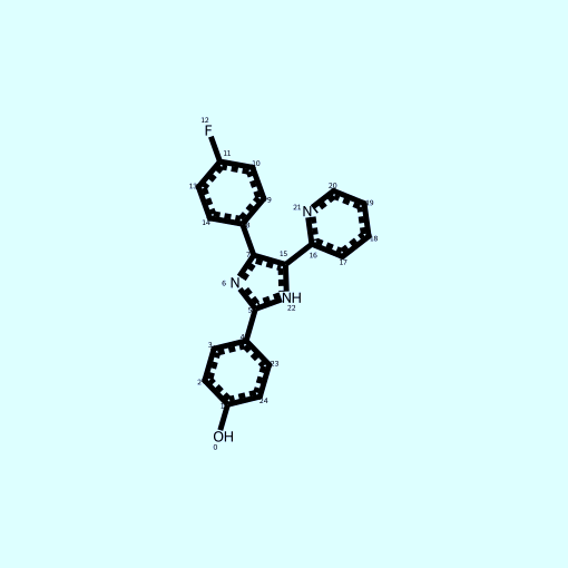 Oc1ccc(-c2nc(-c3ccc(F)cc3)c(-c3ccccn3)[nH]2)cc1